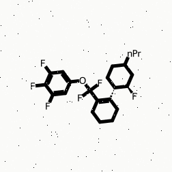 CCCC1CC[C@@H](C2=C(C(F)(F)Oc3cc(F)c(F)c(F)c3)CCCC2)[C@H](F)C1